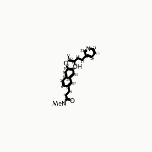 CNC(=O)CCc1ccc2cc(O[C@@H](C)[C@H](O)CCc3cccnc3)ccc2c1